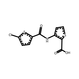 O=C(Nc1ccsc1C(=O)O)c1ccc(Cl)s1